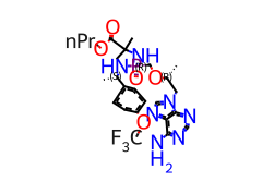 CCCOC(=O)C(C)(C)N[P@@](=O)(CO[C@H](C)Cn1cnc2c(N)ncnc21)N[C@@H](C)c1ccc(OC(F)(F)F)cc1